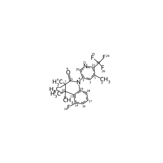 Cc1cc(N2C(=O)C(C)(C)C(C)(C)c3c(F)cccc32)cnc1C(F)(F)F